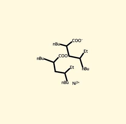 CCCCC(CC)CC(CCCC)C(=O)[O-].CCCCC(CC)CC(CCCC)C(=O)[O-].[Ni+2]